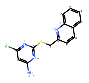 Nc1cc(Cl)nc(SCc2ccc3ccccc3n2)n1